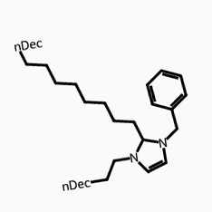 CCCCCCCCCCCCCCCCCCC1N(CCCCCCCCCCCC)C=CN1Cc1ccccc1